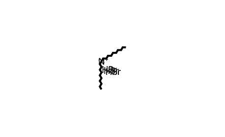 Br.Br.Br.CCCCCCCCCC[N+](C)(C)CCCCCCCCCC